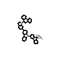 CC1(C)c2ccccc2-c2cc(-n3c4ccccc4c4cc(-c5ccc6ccn(-c7cc8ccccc8c8ccccc78)c6c5)ccc43)ccc21